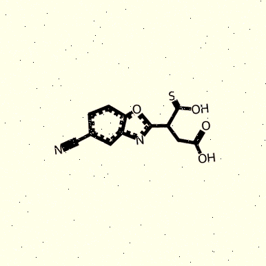 N#Cc1ccc2oc(C(CC(=O)O)C(O)=S)nc2c1